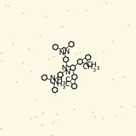 CC1(C)c2ccccc2-c2ccc(-c3cc(-c4ccc5c(c4)C(C)(C)c4ccccc4-5)c4nc(-c5ccc(-c6nc(-c7ccccc7)cc(-c7ccccc7)n6)cc5)nc(-c5ccc(-c6nc(-c7ccccc7)cc(-c7ccccc7)n6)cc5)c4c3)cc21